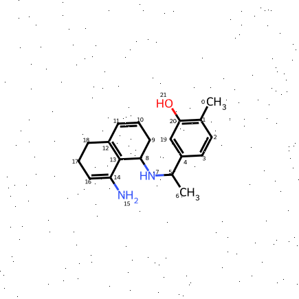 Cc1ccc(C(C)NC2CC=CC3=C2C(N)=CCC3)cc1O